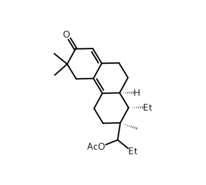 CCC(OC(C)=O)[C@@]1(C)CCC2=C3CC(C)(C)C(=O)C=C3CC[C@H]2[C@@H]1CC